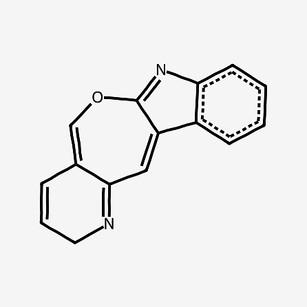 C1=CC2=COC3=Nc4ccccc4C3=CC2=NC1